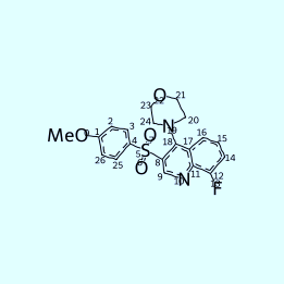 COc1ccc(S(=O)(=O)c2cnc3c(F)cccc3c2N2CCOCC2)cc1